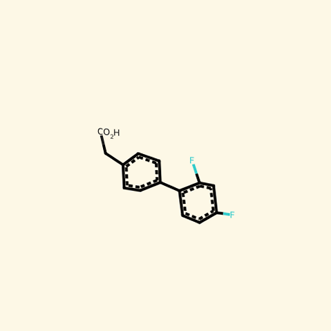 O=C(O)Cc1ccc(-c2ccc(F)cc2F)cc1